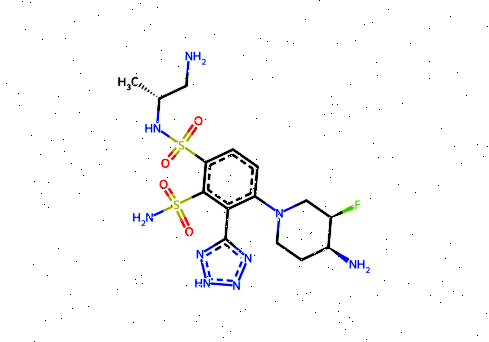 C[C@H](CN)NS(=O)(=O)c1ccc(N2CC[C@H](N)[C@H](F)C2)c(-c2nn[nH]n2)c1S(N)(=O)=O